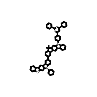 CC1(C)c2ccc(-c3ccc4c(c3)c3cc5c(cc3n4-c3ccccc3)oc3ccccc35)cc2-c2cc3c4ccccc4n(-c4ccc(-c5cc(-c6ccccc6)nc(-c6ccccc6)n5)cc4)c3cc21